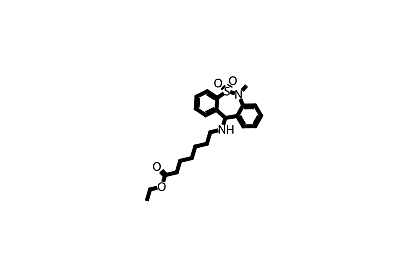 CCOC(=O)CCCCCCNC1c2ccccc2N(C)S(=O)(=O)c2ccccc21